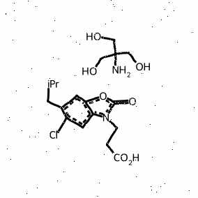 CC(C)Cc1cc2oc(=O)n(CCC(=O)O)c2cc1Cl.NC(CO)(CO)CO